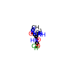 CC(C)N1c2c(cc(C(=O)Nc3ccc(OC(F)(F)Cl)cc3)cc2-c2ccn[nH]2)CC1C(=O)N1CCN(C)CC1